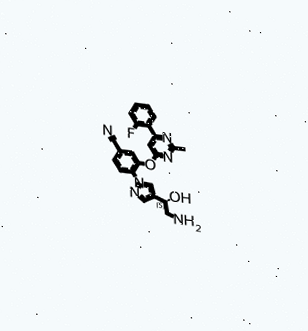 Cc1nc(Oc2cc(C#N)ccc2-n2cc([C@H](O)CN)cn2)cc(-c2ccccc2F)n1